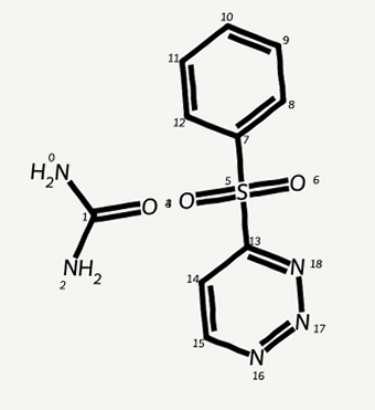 NC(N)=O.O=S(=O)(c1ccccc1)c1ccnnn1